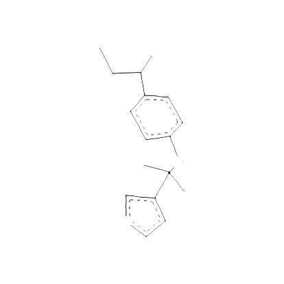 CCC(C)c1ccc(OC(C)(C)c2ccsc2)cc1